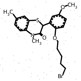 COc1ccc(OCCCCCBr)c(C2Sc3cc(C)ccc3N(C)C2=O)c1